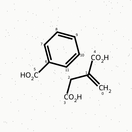 C=C(CC(=O)O)C(=O)O.O=C(O)c1ccccc1